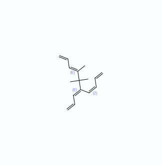 C=C/C=C\C(=C/C=C)C(C)(C)/C(C)=C/C=C